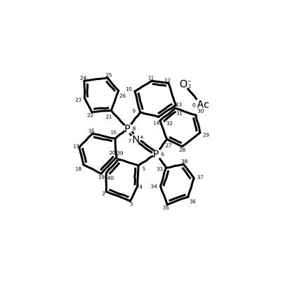 CC(=O)[O-].c1ccc(P(=[N+]=P(c2ccccc2)(c2ccccc2)c2ccccc2)(c2ccccc2)c2ccccc2)cc1